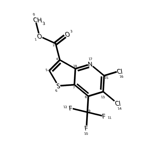 COC(=O)c1csc2c(C(F)(F)F)c(Cl)c(Cl)nc12